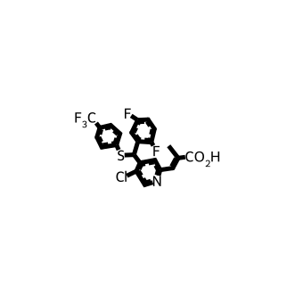 CC(=Cc1cc(C(Sc2ccc(C(F)(F)F)cc2)c2cc(F)ccc2F)c(Cl)cn1)C(=O)O